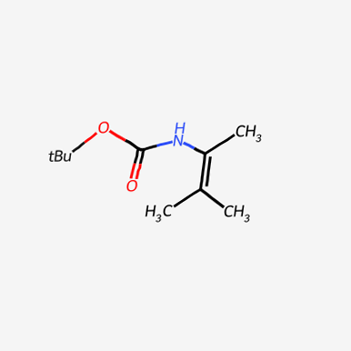 CC(C)=C(C)NC(=O)OC(C)(C)C